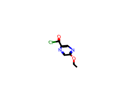 CCOc1cnc(C(=O)Cl)cn1